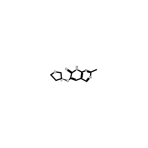 Cc1ncc2cc(O[C@H]3CCOC3)c(=O)[nH]c2n1